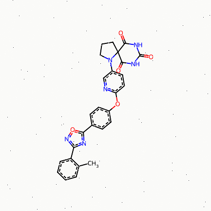 Cc1ccccc1-c1noc(-c2ccc(Oc3ccc(N4CCCC45C(=O)NC(=O)NC5=O)cn3)cc2)n1